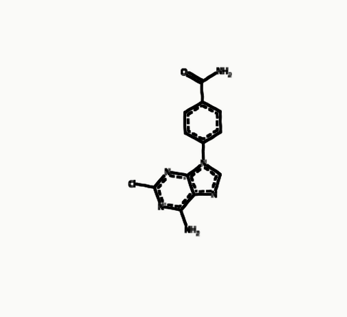 NC(=O)c1ccc(-n2cnc3c(N)nc(Cl)nc32)cc1